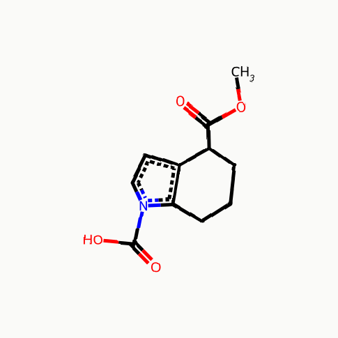 COC(=O)C1CCCc2c1ccn2C(=O)O